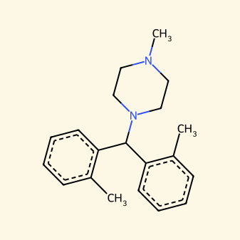 Cc1ccccc1C(c1ccccc1C)N1CCN(C)CC1